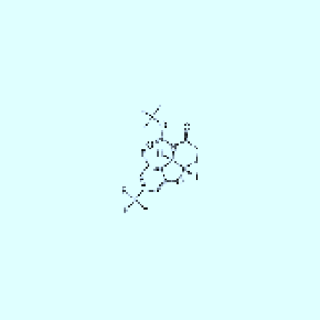 CC(C)(C)OC(=O)N1C(=O)CC[C@@H]2Oc3cc(C(F)(F)F)cc(F)c3[C@@H]21